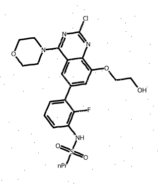 CCCS(=O)(=O)Nc1cccc(-c2cc(OCCO)c3nc(Cl)nc(N4CCOCC4)c3c2)c1F